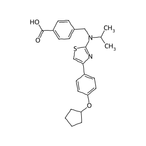 CC(C)N(Cc1ccc(C(=O)O)cc1)c1nc(-c2ccc(OC3CCCC3)cc2)cs1